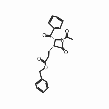 CC(=O)N1C(=O)[C@H](CCC(=O)OCc2ccccc2)[C@@H]1C(=O)c1ccccc1